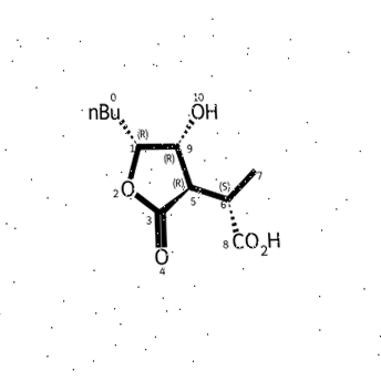 CCCC[C@H]1OC(=O)[C@H]([C@H](C)C(=O)O)[C@H]1O